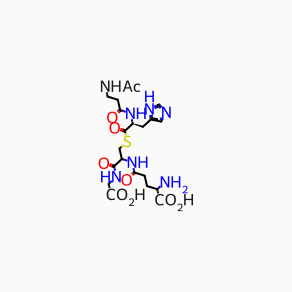 CC(=O)NCCC(=O)N[C@@H](Cc1cnc[nH]1)C(=O)SCC(NC(=O)CCC(N)C(=O)O)C(=O)NCC(=O)O